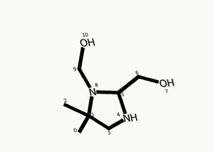 CC1(C)CNC(CO)N1CO